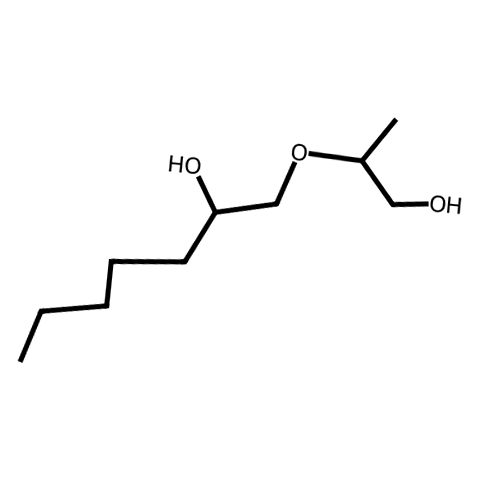 CCCCCC(O)COC(C)CO